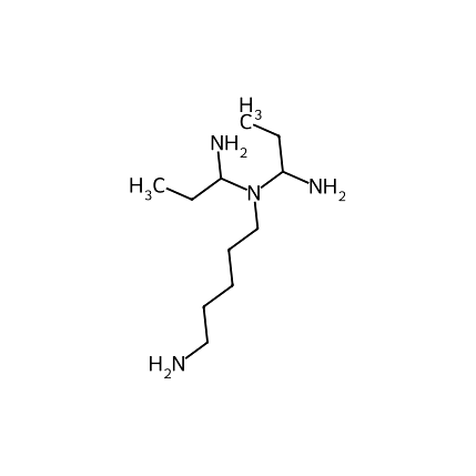 CCC(N)N(CCCCCN)C(N)CC